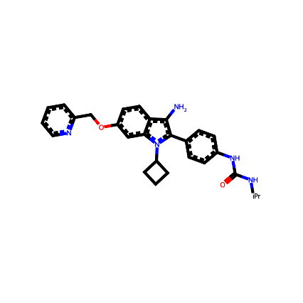 CC(C)NC(=O)Nc1ccc(-c2c(N)c3ccc(OCc4ccccn4)cc3n2C2CCC2)cc1